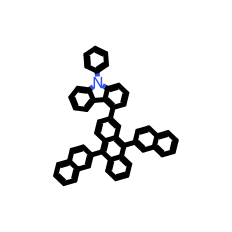 c1ccc(-n2c3ccccc3c3c(-c4ccc5c(-c6ccc7ccccc7c6)c6ccccc6c(-c6ccc7ccccc7c6)c5c4)cccc32)cc1